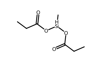 CCC(=O)O[SiH](C)OC(=O)CC